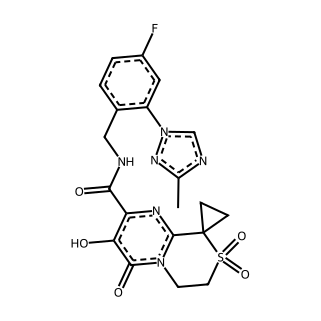 Cc1ncn(-c2cc(F)ccc2CNC(=O)c2nc3n(c(=O)c2O)CCS(=O)(=O)C32CC2)n1